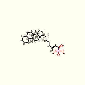 COP(=O)(OC)C(=O)C=C(C)CCC[C@@H](C)[C@H]1CC[C@H]2[C@@H]3CCC4CCCC[C@]4(C)[C@H]3CC[C@]12C